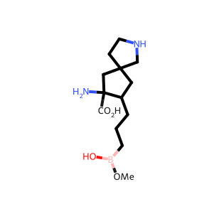 COB(O)CCCC1CC2(CCNC2)CC1(N)C(=O)O